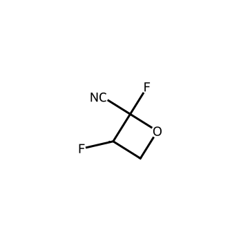 N#CC1(F)OC[C]1F